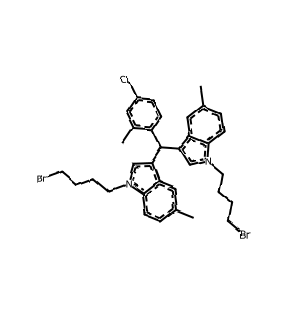 Cc1ccc2c(c1)c(C(c1ccc(Cl)cc1C)c1cn(CCCCBr)c3ccc(C)cc13)cn2CCCCBr